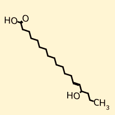 CCCC(O)C=CCCCCCCCCCCCCC(=O)O